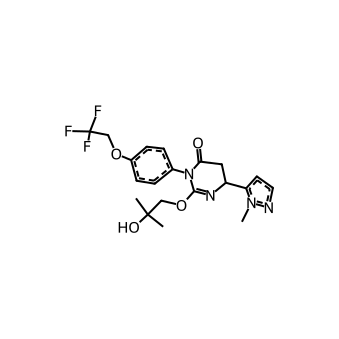 Cn1nccc1C1CC(=O)N(c2ccc(OCC(F)(F)F)cc2)C(OCC(C)(C)O)=N1